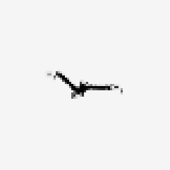 CCCCCCCCCCCCOc1cc2sc(Br)c(OCCCCCCCCCCCC)c2cc1Br